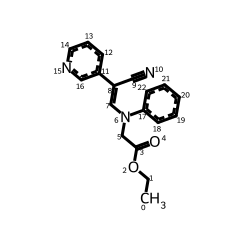 CCOC(=O)CN(C=C(C#N)c1cccnc1)c1ccccc1